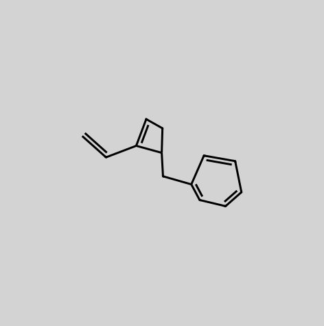 C=CC1=CCC1Cc1ccccc1